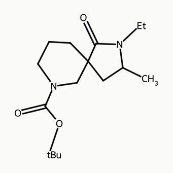 CCN1C(=O)C2(CCCN(C(=O)OC(C)(C)C)C2)CC1C